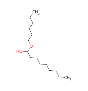 CCCCCCCCC(O)OCCCCCC